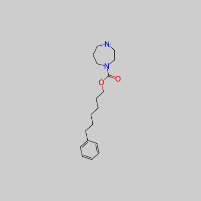 O=C(OCCCCCCc1ccccc1)N1CCC[N]CC1